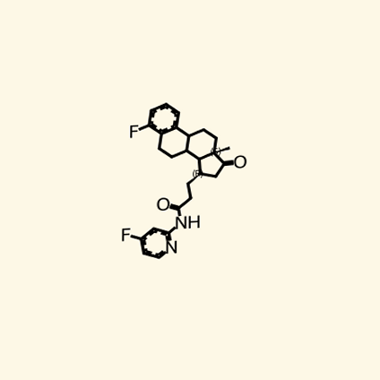 C[C@]12CCC3c4cccc(F)c4CCC3C1[C@H](CCC(=O)Nc1cc(F)ccn1)CC2=O